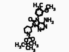 COc1cc(-n2c(=O)n(C3CCCN(C(=O)OC(C)(C)C)C3)c3ncnc(N)c32)ccc1C